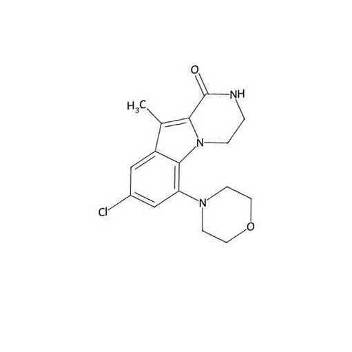 Cc1c2n(c3c(N4CCOCC4)cc(Cl)cc13)CCNC2=O